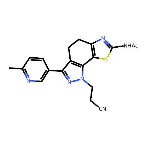 CC(=O)Nc1nc2c(s1)-c1c(c(-c3ccc(C)nc3)nn1CCC#N)CC2